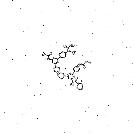 CNC(=O)N(c1ccc(-c2nc(NC(=O)C3CC3)cc(N3CCOCC3)n2)cc1)C1CC1.CNC(=O)Nc1ccc(-c2nc(N3CCOCC3)cc(C3(C(=O)N4CCOC[C@@H]4C)CC3)n2)cc1